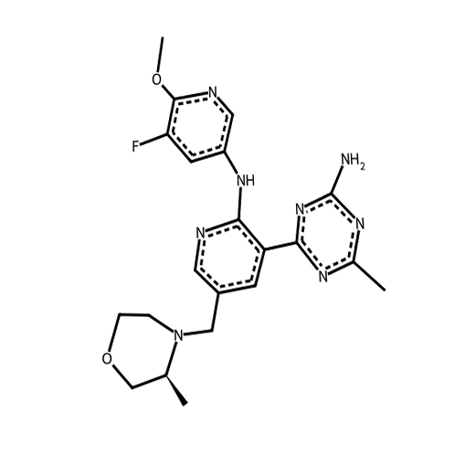 COc1ncc(Nc2ncc(CN3CCOC[C@@H]3C)cc2-c2nc(C)nc(N)n2)cc1F